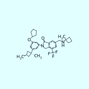 CC1(NCc2cc3c(c(C(F)(F)F)c2)CN(c2cc(OC4CCCC4)cc([C@]4(C)C[C@H](C)C4)c2)C3=O)CCC1